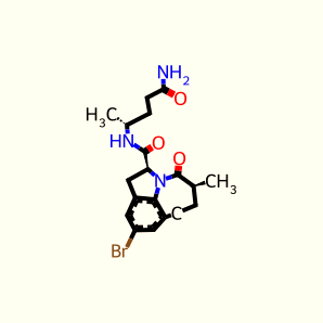 C[C@H](CCC(N)=O)NC(=O)[C@@H]1Cc2cc(Br)cc3c2N1C(=O)[C@@H](C)CC3